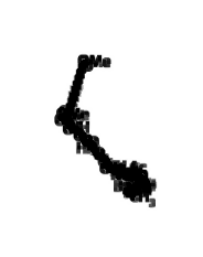 COC(=O)CCCCCCCCCCCCCCCCC(=O)N[C@@H](CCC(=O)NCCOCCOCC(=O)NCCOCCOCC(=O)NCc1ncc(-c2ccc3c(c2)c(C(C)=O)nn3CC(=O)N2C[C@H]3C[C@H]3[C@H]2C(=O)Nc2nc(Br)ccc2C)cn1)C(=O)OC